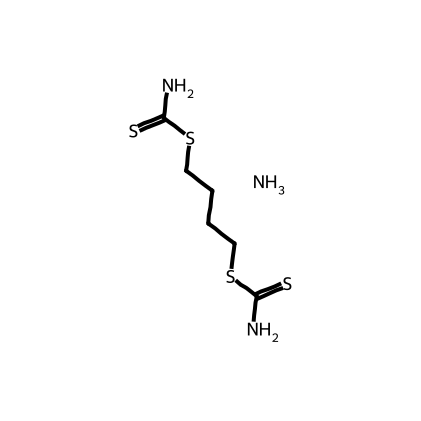 N.NC(=S)SCCCCSC(N)=S